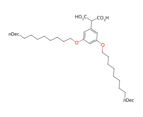 CCCCCCCCCCCCCCCCCCOc1cc(OCCCCCCCCCCCCCCCCCC)cc(C(C(=O)O)C(=O)O)c1